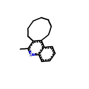 Cc1nc2ccccc2c2c1CCCCCCC2